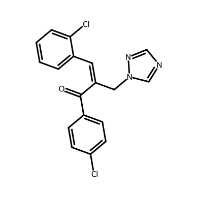 O=C(C(=Cc1ccccc1Cl)Cn1cncn1)c1ccc(Cl)cc1